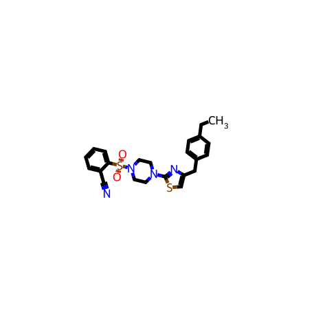 CCc1ccc(Cc2csc(N3CCN(S(=O)(=O)c4ccccc4C#N)CC3)n2)cc1